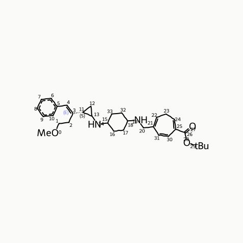 COCC/C(=C\c1ccccc1)[C@@H]1CC1NC1CCC(NCC2=CCC=C(C(=O)OC(C)(C)C)C=C2)CC1